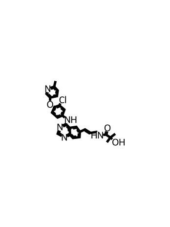 Cc1ccc(Oc2ccc(Nc3ncnc4ccc(C=CCNC(=O)C(C)(C)O)cc34)cc2Cl)cn1